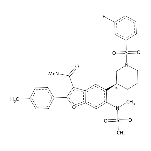 CNC(=O)c1c(-c2ccc(C)cc2)oc2cc(N(C)S(C)(=O)=O)c([C@@H]3CCCN(S(=O)(=O)c4cccc(F)c4)C3)cc12